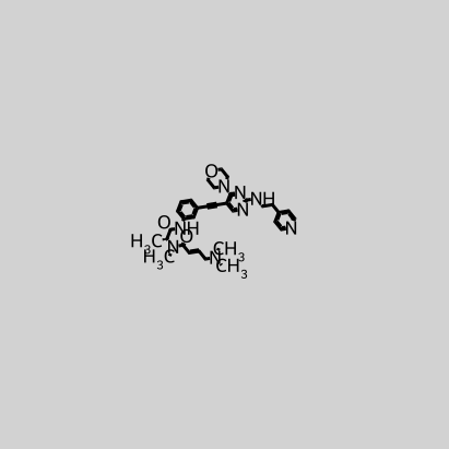 C[C@@H](C(=O)Nc1cccc(C#Cc2cnc(NCCc3ccncc3)nc2N2CCOCC2)c1)N(C)C(=O)C=CCN(C)C